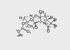 CC(C)OC(=O)OC(C)(C)OC(=O)[C@@H]1N2C(=O)C(Br)(Br)[C@H]2SC1(C)C